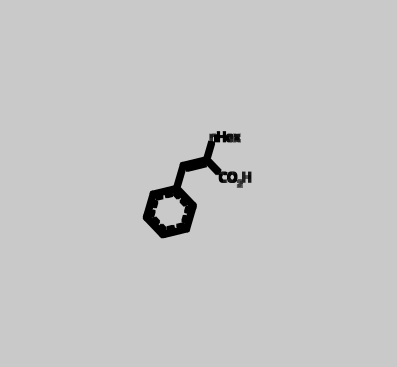 CCCCCCC(=Cc1ccccc1)C(=O)O